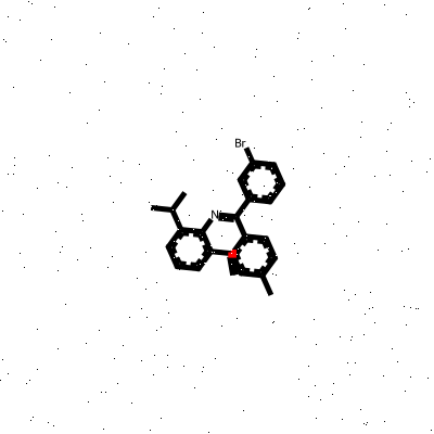 C=Cc1cccc(C(C)C)c1/N=C(\c1ccc(C)cc1)c1cccc(Br)c1